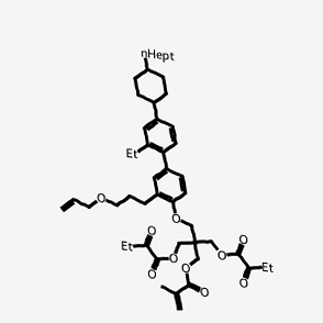 C=CCOCCCc1cc(-c2ccc(C3CCC(CCCCCCC)CC3)cc2CC)ccc1OCC(COC(=O)C(=C)C)(COC(=O)C(=O)CC)COC(=O)C(=O)CC